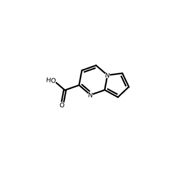 O=C(O)c1ccn2cccc2n1